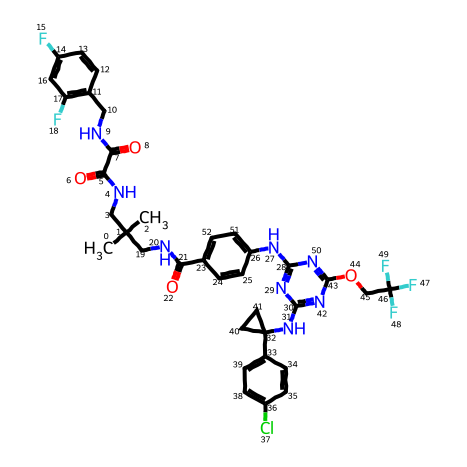 CC(C)(CNC(=O)C(=O)NCc1ccc(F)cc1F)CNC(=O)c1ccc(Nc2nc(NC3(c4ccc(Cl)cc4)CC3)nc(OCC(F)(F)F)n2)cc1